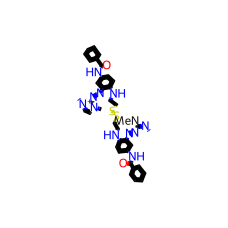 C/N=C(\N=N\c1cc(NC(=O)c2ccccc2)ccc1NCCSSCCNc1ccc(NC(=O)c2ccccc2)cc1/N=N/c1n(C)cc[n+]1C)NC